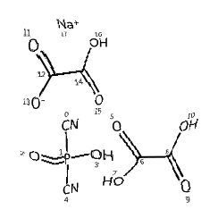 N#CP(=O)(O)C#N.O=C(O)C(=O)O.O=C([O-])C(=O)O.[Na+]